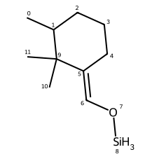 CC1CCCC(=CO[SiH3])C1(C)C